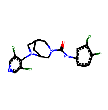 O=C(Nc1ccc(F)c(Cl)c1)N1CC2CC(C1)N(c1c(Cl)cncc1Cl)C2